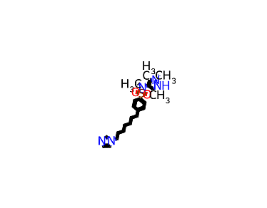 CC1=C(N(C)S(=O)(=O)c2ccc(CCCCCCCn3ccnc3)cc2)C(C)NN1C